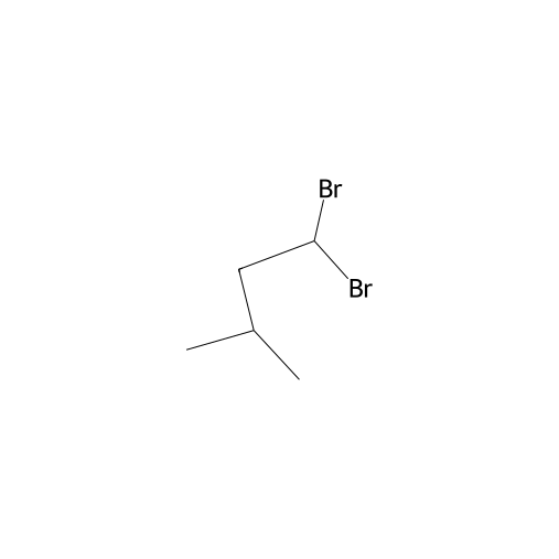 CC(C)CC(Br)Br